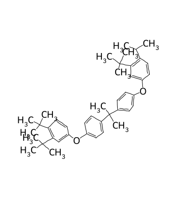 CC(C)c1ccc(Oc2ccc(C(C)(C)c3ccc(Oc4ccc(C(C)(C)C)c(C(C)(C)C)c4)cc3)cc2)cc1C(C)(C)C